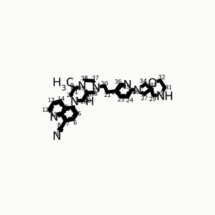 C[C@@H]1CN(c2ccc(C#N)c3ncccc23)C[C@@H]2CN(CCc3ccc(N4CC5(CNCCO5)C4)nc3)CCN21